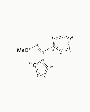 COC=C(c1ccccc1)c1ccco1